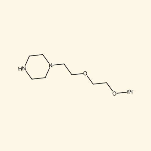 CC(C)OCCOCCN1CCNCC1